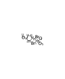 COC(=O)C(Br)C(Br)c1ccc(OC)cc1